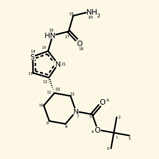 CC(C)(C)OC(=O)N1CCC[C@H](c2csc(NC(=O)CN)n2)C1